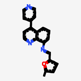 Cc1ccc(C=Nc2cccc3c(-c4ccncc4)ccnc23)o1